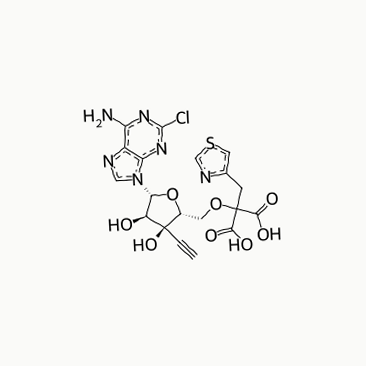 C#C[C@@]1(O)[C@@H](COC(Cc2cscn2)(C(=O)O)C(=O)O)O[C@@H](n2cnc3c(N)nc(Cl)nc32)[C@@H]1O